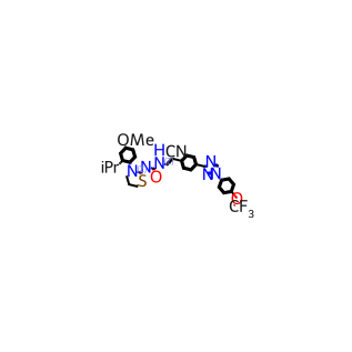 COc1ccc(N2CCCS/C2=N\C(=O)N/C=C(\C#N)c2ccc(-c3ncn(-c4ccc(OC(F)(F)F)cc4)n3)cc2)c(C(C)C)c1